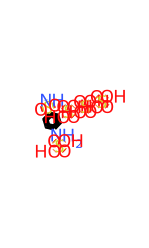 Nc1ccc(S(N)(=O)=O)cc1.O=S(=O)(O)O.O=S(=O)(O)O.O=S(=O)(O)O.O=S(=O)(O)O